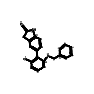 O=C1Cc2cc(-c3c(Cl)cccc3OCc3ccccc3)ccc2N1